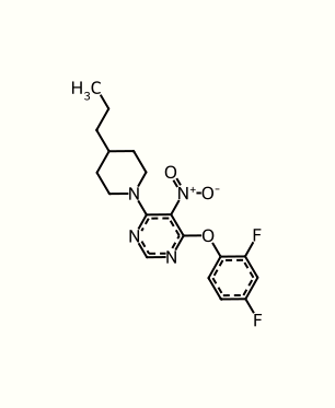 CCCC1CCN(c2ncnc(Oc3ccc(F)cc3F)c2[N+](=O)[O-])CC1